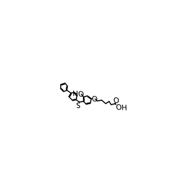 O=C(O)CCCCCOc1ccc(C(=S)c2ccc(-c3ccccc3)cc2)c(O)c1